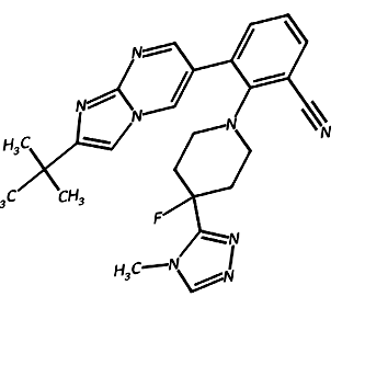 Cn1cnnc1C1(F)CCN(c2c(C#N)cccc2-c2cnc3nc(C(C)(C)C)cn3c2)CC1